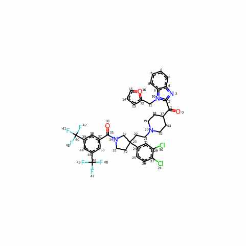 O=C(c1nc2ccccc2n1Cc1ccco1)C1CCN(CCC2(c3ccc(Cl)c(Cl)c3)CCN(C(=O)c3cc(C(F)(F)F)cc(C(F)(F)F)c3)C2)CC1